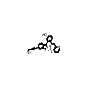 Cl.N[C@@H](Cc1ccccn1)c1ccccc1-c1noc2cc(C#CCO)ccc12